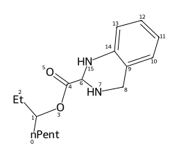 CCCCCC(CC)OC(=O)C1NCc2ccccc2N1